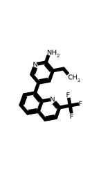 CCc1cc(-c2cccc3ccc(C(F)(F)F)nc23)cnc1N